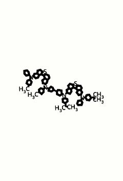 Cc1ccc(N(c2ccccc2)c2ccc3c(ccc4sc5ccc6cc(N(c7ccc(C)cc7)c7ccc(-c8ccc(N(c9ccc(C(C)C)cc9)c9ccc%10c(ccc%11sc%12ccc%13cc(N(c%14ccccc%14)c%14ccc(C(C)C)cc%14)ccc%13c%12c%11%10)c9)cc8)cc7)ccc6c5c43)c2)cc1